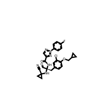 N#CC1(N[C@@](C=O)(Cc2ccc(OCC3CC3)c(Cl)c2)NC(=O)c2cnn(-c3ccc(F)cc3)n2)CC1